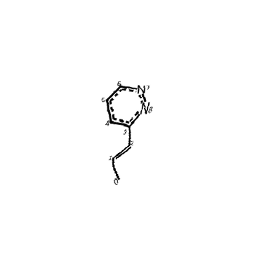 CC=Cc1cccnn1